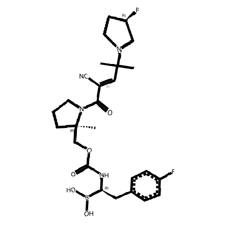 CC(C)(/C=C(\C#N)C(=O)N1CCC[C@]1(C)COC(=O)N[C@@H](Cc1ccc(F)cc1)B(O)O)N1CC[C@@H](F)C1